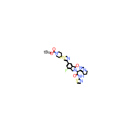 CC(C)(C)OC(=O)N1CCC([SH]2C=NC(c3cc(F)c4c(c3)C(=O)N(C(C(=O)Nc3nccs3)c3ncn5c3CCC5)C4)=C2)CC1